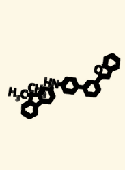 CC1(C)c2ccccc2-c2ccc(Nc3ccc(-c4cccc(-c5cc6ccccc6o5)c4)cc3)cc21